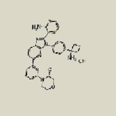 Cl.Nc1ncccc1-c1nc2ccc(-c3cccc(N4CCOCC4=O)c3)nc2n1-c1ccc(C2(N)CCC2)cc1